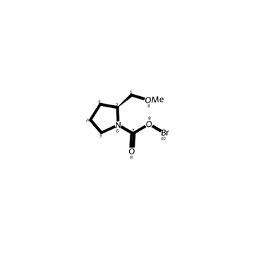 COC[C@@H]1CCCN1C(=O)OBr